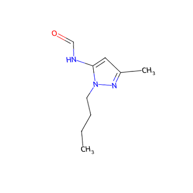 CCCCn1nc(C)cc1NC=O